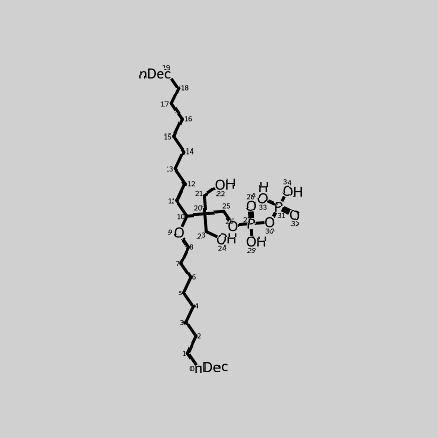 CCCCCCCCCCCCCCCCCCOC(CCCCCCCCCCCCCCCCCC)C(CO)(CO)COP(=O)(O)OP(=O)(O)O